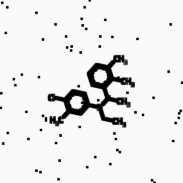 CCN(c1ccc(Cl)c(C)c1)C(C)c1cccc(C)c1C